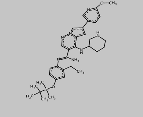 CCc1cc(O[Si](C)(C)C(C)(C)C)ccc1/N=C(\N)c1cnn2cc(-c3ccc(OC)nc3)cc2c1NC1CCCNC1